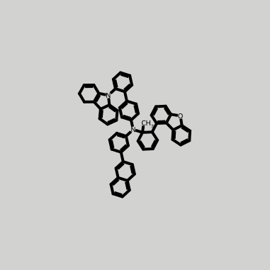 CC1(N(c2ccc(-c3ccccc3-n3c4c(c5ccccc53)CCC=C4)cc2)c2cccc(-c3ccc4ccccc4c3)c2)C=CC=CC1c1cccc2oc3ccccc3c12